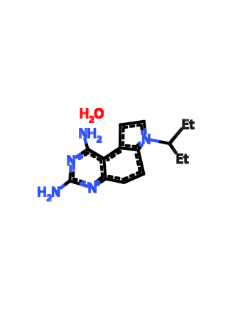 CCC(CC)n1ccc2c3c(N)nc(N)nc3ccc21.O